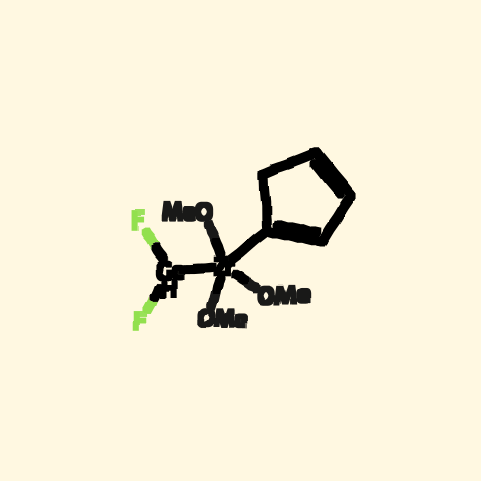 C[O][Zr]([O]C)([O]C)([C]1=CC=CC1)[GeH]([F])[F]